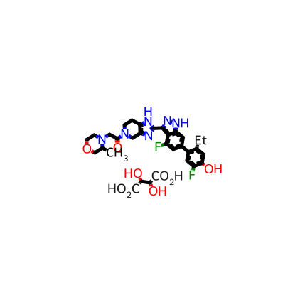 CCc1cc(O)c(F)cc1-c1cc(F)c2c(-c3nc4c([nH]3)CCN(C(=O)CN3CCOCC3C)C4)n[nH]c2c1.O=C(O)C(O)C(O)C(=O)O